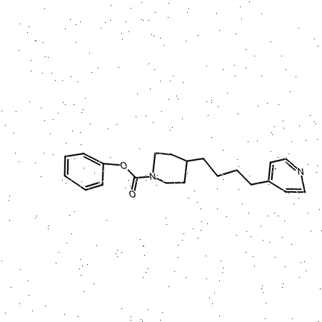 O=C(Oc1ccccc1)N1CCC(CCCCc2ccncc2)CC1